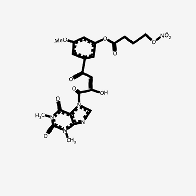 COc1cc(OC(=O)CCCO[N+](=O)[O-])cc(C(=O)/C=C(/O)C(=O)n2cnc3c2c(=O)n(C)c(=O)n3C)c1